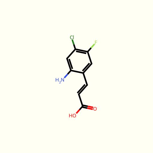 Nc1cc(Cl)c(F)cc1/C=C/C(=O)O